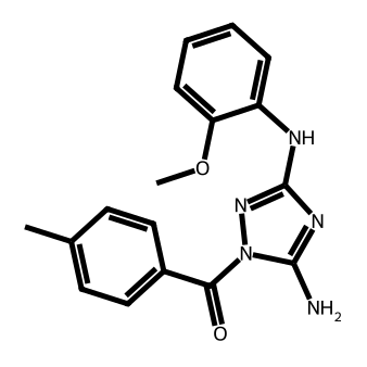 COc1ccccc1Nc1nc(N)n(C(=O)c2ccc(C)cc2)n1